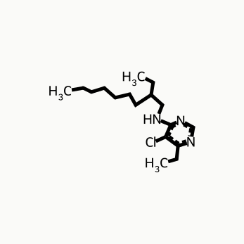 CCCCCCCC(CC)CNc1ncnc(CC)c1Cl